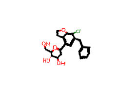 OCC1OC(c2cc(Cc3ccccc3)c(Cl)c3c2CCO3)CC(O)[C@@H]1O